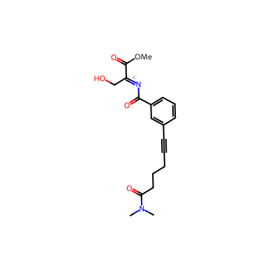 COC(=O)/C(CO)=N/C(=O)c1cccc(C#CCCCC(=O)N(C)C)c1